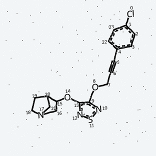 Clc1ccc(C#CCOc2nsnc2OC2CN3CCC2C3)cc1